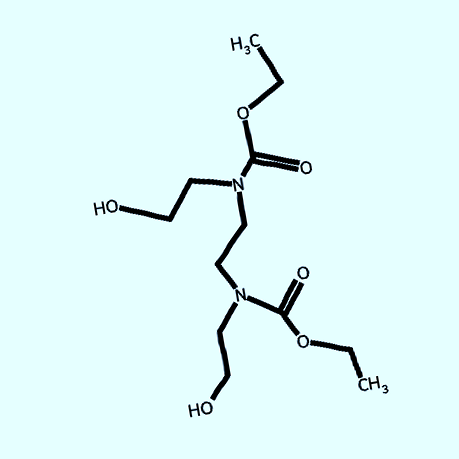 CCOC(=O)N(CCO)CCN(CCO)C(=O)OCC